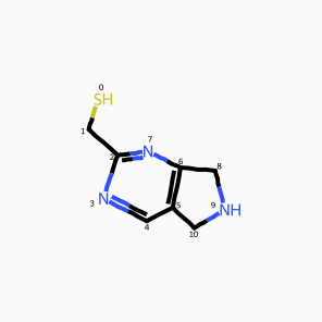 SCc1ncc2c(n1)CNC2